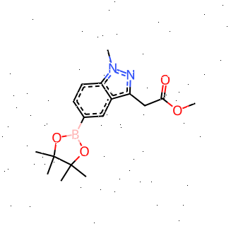 COC(=O)Cc1nn(C)c2ccc(B3OC(C)(C)C(C)(C)O3)cc12